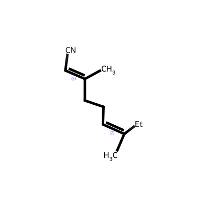 CC/C(C)=C\CC/C(C)=C/C#N